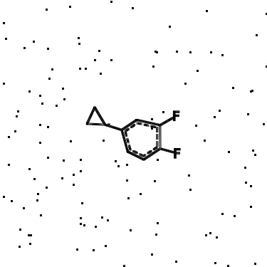 Fc1ccc([C]2CC2)cc1F